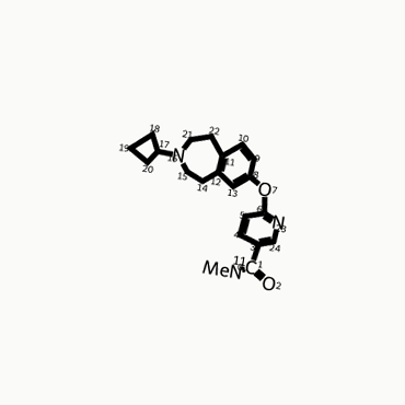 CN[11C](=O)c1ccc(Oc2ccc3c(c2)CCN(C2CCC2)CC3)nc1